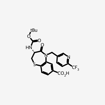 CC(C)(C)OC(=O)N[C@H]1CSc2ccc(C(=O)O)cc2N(Cc2ccc(C(F)(F)F)nc2)C1=O